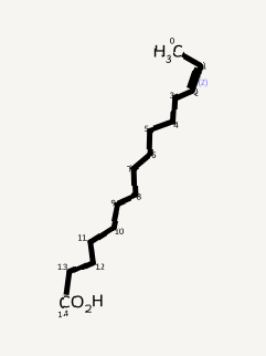 C/C=C\CCCCCCCCCCCC(=O)O